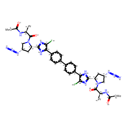 COC(=O)N[C@H](C(=O)N1C[C@@H](N=[N+]=[N-])C[C@H]1c1nc(F)c(-c2ccc(-c3ccc(-c4[nH]c([C@@H]5C[C@H](N=[N+]=[N-])CN5C(=O)[C@@H](NC(=O)OC)C(C)C)nc4F)cc3)cc2)[nH]1)C(C)C